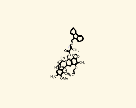 C=CCOc1c(C)c2c(c3c1CC1[C@@H]4c5c(cc(C)c(OC)c5C)C[C@H]([C@H](C#N)N1[C@H]3COC(=O)/C(C)=C/SCC1c3ccccc3-c3ccccc31)N4C)OCO2